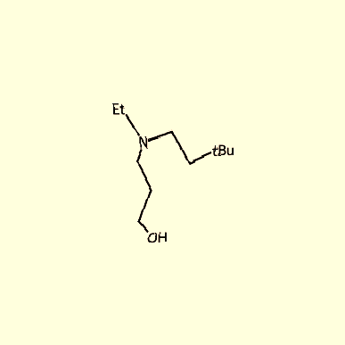 CCN(CCCO)CCC(C)(C)C